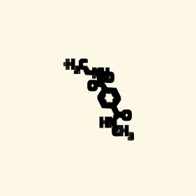 [CH2]CNS(=O)(=O)c1ccc(C(=O)NC)cc1